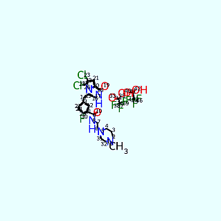 CN1CCCN(CCNC(=O)c2cc(Cc3c[nH]c(=O)c4cc(Cl)c(Cl)n34)ccc2F)CC1.O=C(O)C(F)(F)F.O=C(O)C(F)(F)F